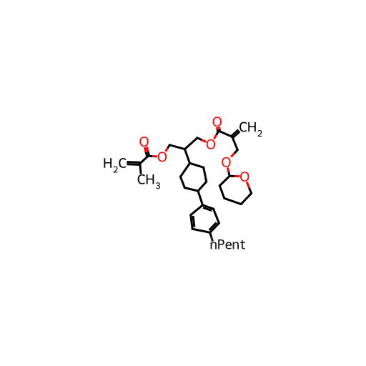 C=C(C)C(=O)OCC(COC(=O)C(=C)COC1CCCCO1)C1CCC(c2ccc(CCCCC)cc2)CC1